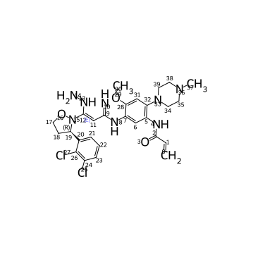 C=CC(=O)Nc1cc(NC(=N)/C=C(\NN)N2OCC[C@@H]2c2cccc(Cl)c2Cl)c(OC)cc1N1CCN(C)CC1